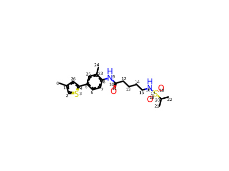 Cc1csc(-c2ccc(NC(=O)CCCCNS(=O)(=O)C(C)C)c(C)c2)c1